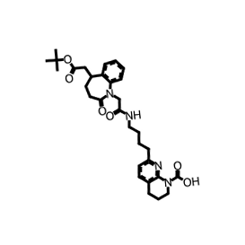 CC(C)(C)OC(=O)CC1CCC(=O)N(CC(=O)NCCCCc2ccc3c(n2)N(C(=O)O)CCC3)c2ccccc21